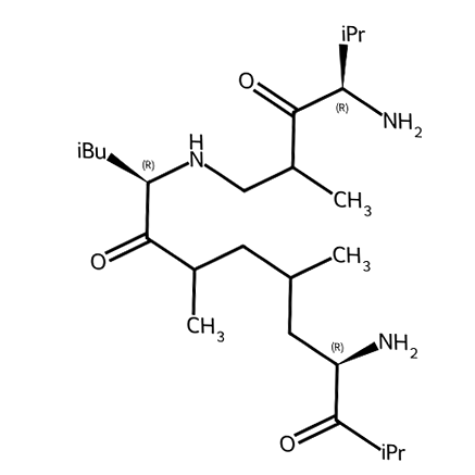 CCC(C)[C@@H](NCC(C)C(=O)[C@H](N)C(C)C)C(=O)C(C)CC(C)C[C@@H](N)C(=O)C(C)C